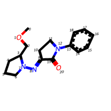 COCC1CCCN1N=C1CCN(c2ccccc2)C1=O